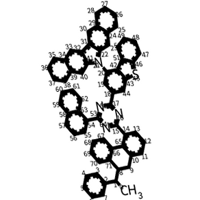 CC(c1ccccc1)C1Cc2cccc(-c3nc(-c4cc(-n5c6cc7ccccc7cc6c6cc7ccccc7cc65)c5c(c4)sc4ccccc45)nc(-c4cccc5ccccc45)n3)c2-c2ccccc21